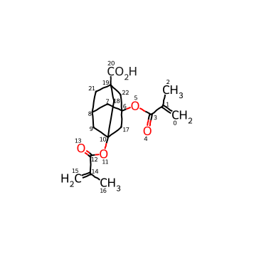 C=C(C)C(=O)OC12CC3CC(OC(=O)C(=C)C)(C1)CC(C(=O)O)(C3)C2